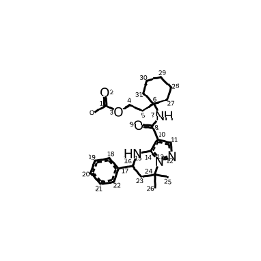 CC(=O)OCCC1(NC(=O)c2cnn3c2NC(c2ccccc2)CC3(C)C)CCCCC1